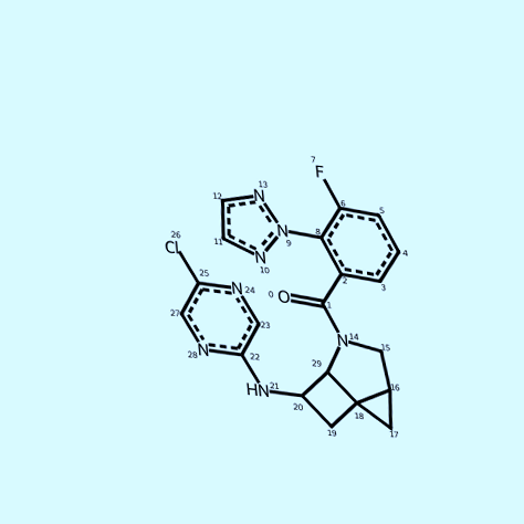 O=C(c1cccc(F)c1-n1nccn1)N1CC2CC23CC(Nc2cnc(Cl)cn2)C13